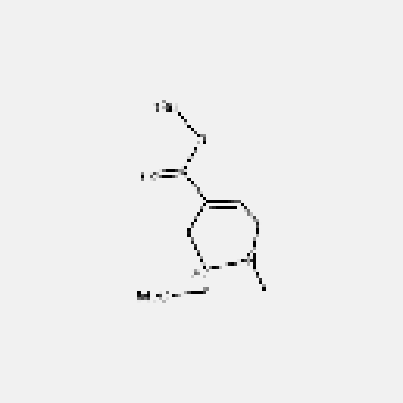 COC[C@@H]1CC(C(=O)OC(C)(C)C)=CCN1C